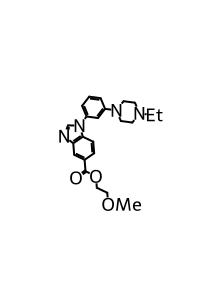 CCN1CCN(c2cccc(-n3cnc4cc(C(=O)OCCOC)ccc43)c2)CC1